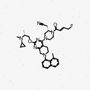 Cc1cccc2cccc(N3CCc4c(nc(OC[C@@H](C)N(C)C5CC5)nc4N4CCN(C(=O)/C=C/CF)[C@@H](CC#N)C4)C3)c12